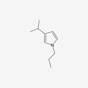 CCCn1ccc(C(C)C)c1